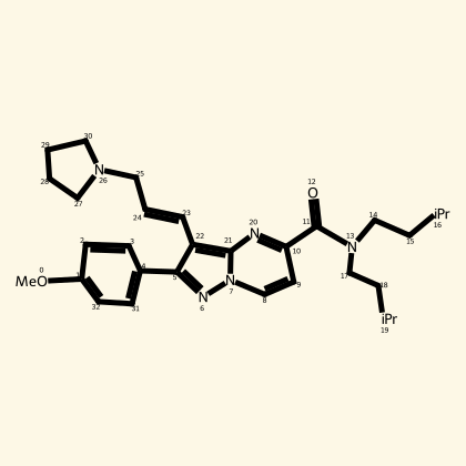 COc1ccc(-c2nn3ccc(C(=O)N(CCC(C)C)CCC(C)C)nc3c2/C=C/CN2CCCC2)cc1